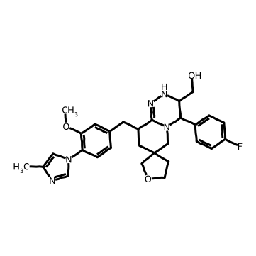 COc1cc(CC2CC3(CCOC3)CN3C2=NNC(CO)C3c2ccc(F)cc2)ccc1-n1cnc(C)c1